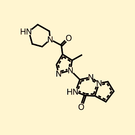 Cc1c(C(=O)N2CCNCC2)cnn1-c1nn2cccc2c(=O)[nH]1